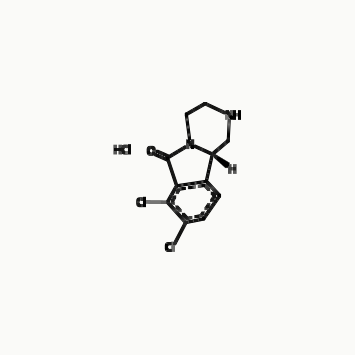 Cl.O=C1c2c(ccc(Cl)c2Cl)[C@H]2CNCCN12